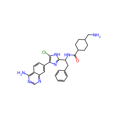 NCC1CCC(C(=O)NC(Cc2ccccc2)c2nc(-c3ccc4c(N)ncnc4c3)c(Cl)[nH]2)CC1